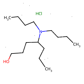 CCCCN(CCCC)C(CCC)CCCO.Cl